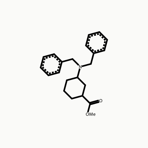 COC(=O)C1CCCC(N(Cc2ccccc2)Cc2ccccc2)C1